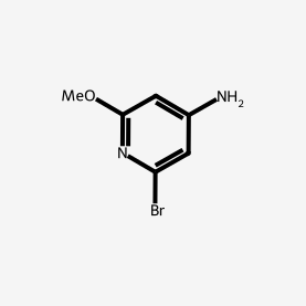 COc1cc(N)cc(Br)n1